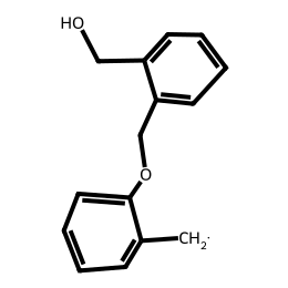 [CH2]c1ccccc1OCc1ccccc1CO